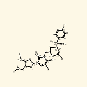 COCC1OC(n2cc(C)c(=O)n(CC(COS(=O)(=O)c3ccc(C)cc3)OC(C)=O)c2=O)C[C@@H]1OC